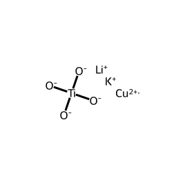 [Cu+2].[K+].[Li+].[O-][Ti]([O-])([O-])[O-]